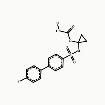 O=C(NO)OC1(NS(=O)(=O)c2ccc(-c3ccc(F)cc3)cc2)CC1